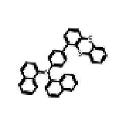 c1ccc2c(c1)Sc1cccc(-c3ccc(N(c4cccc5ccccc45)c4cccc5ccccc45)cc3)c1S2